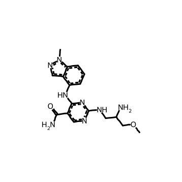 COCC(N)CNc1ncc(C(N)=O)c(Nc2cccc3c2cnn3C)n1